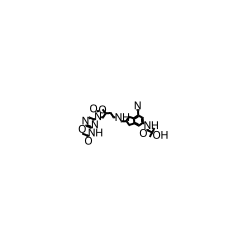 CC(C)(O)C(=O)Nc1cc(C#N)c2c(c1)CC(CNCCC1CN(c3cnc4c(n3)NC(=O)CO4)C(=O)O1)C2